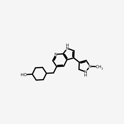 CN1C=C(c2c[nH]c3ncc(CC4CCC(O)CC4)cc23)CN1